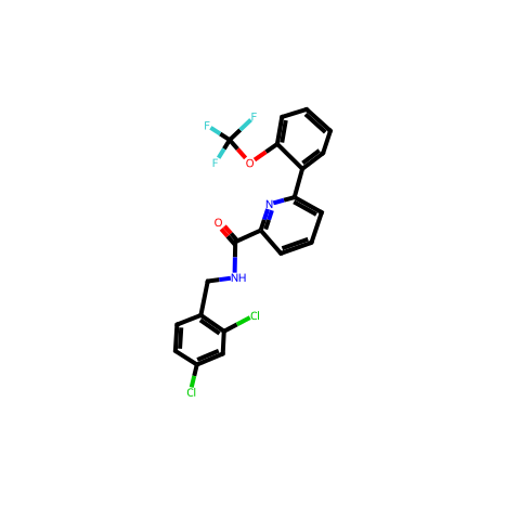 O=C(NCc1ccc(Cl)cc1Cl)c1cccc(-c2ccccc2OC(F)(F)F)n1